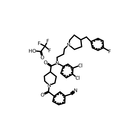 N#Cc1cccc(C(=O)N2CCC(C(=O)N(CCCN3CCC(Cc4ccc(F)cc4)CC3)c3ccc(Cl)c(Cl)c3)CC2)c1.O=C(O)C(F)(F)F